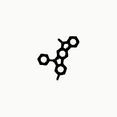 Cc1ccc2c3cc4c5ccccc5n(C)c4cc3n(-c3ccccc3)c2c1